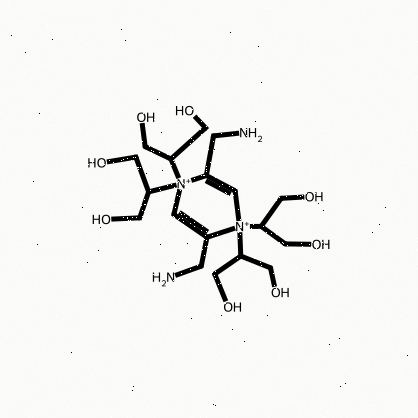 NCC1=C[N+](C(CO)CO)(C(CO)CO)C(CN)=C[N+]1(C(CO)CO)C(CO)CO